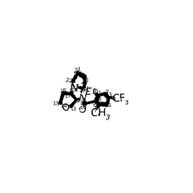 CCc1cc(C(F)(F)F)cc(C)c1C(=O)NC1COCCC1N1CCCC1